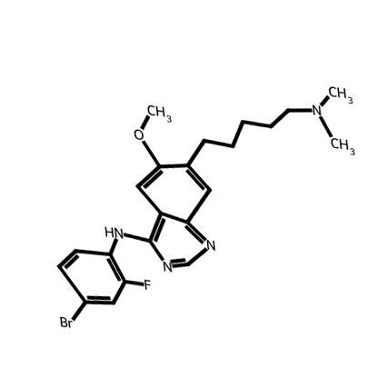 COc1cc2c(Nc3ccc(Br)cc3F)ncnc2cc1CCCCCN(C)C